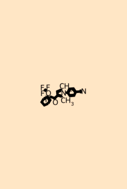 Cc1cc(C(=O)CN2C3CCC2[C@@H](OC(F)(F)F)C3)c(C)n1-c1ccc(C#N)cc1